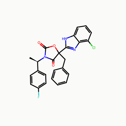 C[C@H](c1ccc(F)cc1)N1C(=O)OC(Cc2ccccc2)(c2nc3c(Cl)cccc3[nH]2)C1=O